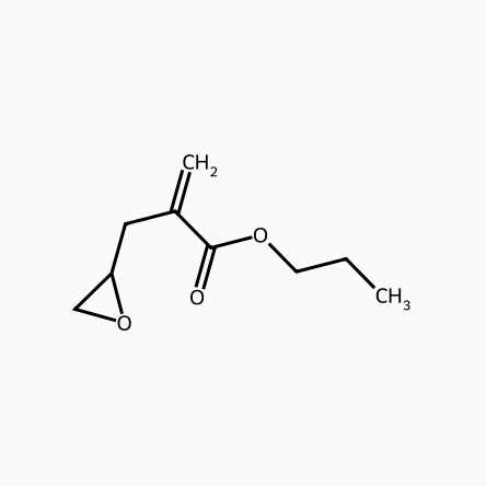 C=C(CC1CO1)C(=O)OCCC